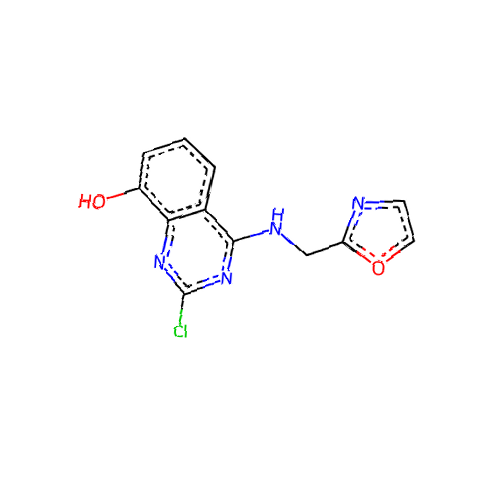 Oc1cccc2c(NCc3ncco3)nc(Cl)nc12